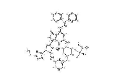 O=C(O)C(F)(F)F.OCc1cnn([C@H]2C[C@@H](n3cnc4c(NCC(c5ccccc5)c5ccccc5)nc(NC5CCN(Cc6ccccc6)CC5)nc43)[C@H](O)[C@@H]2O)c1